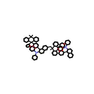 CC1(C)c2ccccc2C2(c3ccccc3-c3cc(-c4c(N(c5ccccc5)c5ccccc5)ccc5cc(CC6(C)c7ccccc7C7(c8ccccc8-c8c(-c9c(N(c%10ccccc%10)c%10ccccc%10)ccc%10ccccc9%10)cccc87)c7ccccc76)ccc45)ccc32)c2ccccc21